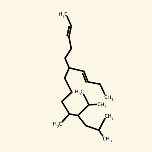 C/C=C/CCC(/C=C/CC)CCCC(C)C(CC(C)C)C(C)C